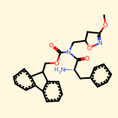 COC1=NOC(CN(C(=O)OCC2c3ccccc3-c3ccccc32)C(=O)[C@@H](N)Cc2ccccc2)C1